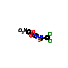 O=[N+]([O-])c1ccc(S(=O)(=O)N2CCN(c3nc(-c4cc(Cl)cc(Cl)c4)cs3)CC2)cc1